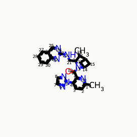 Cc1ccc(-n2nccn2)c(C(=O)N2C3CC(C3)C(C)C2CNc2ncc3ccccc3n2)n1